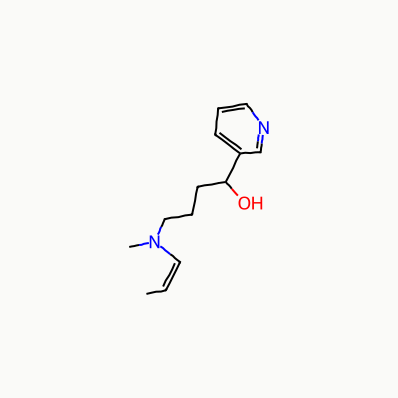 C/C=C\N(C)CCCC(O)c1cccnc1